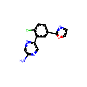 Nc1cnc(-c2cc(-c3ncco3)ccc2Cl)cn1